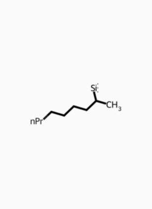 CCCCCCCC(C)[Si]